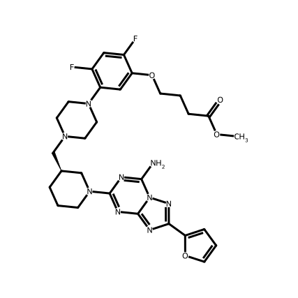 COC(=O)CCCOc1cc(N2CCN(C[C@@H]3CCCN(c4nc(N)n5nc(-c6ccco6)nc5n4)C3)CC2)c(F)cc1F